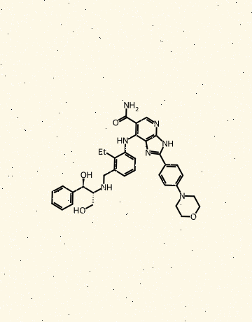 CCc1c(CN[C@H](CO)[C@H](O)c2ccccc2)cccc1Nc1c(C(N)=O)cnc2[nH]c(-c3ccc(N4CCOCC4)cc3)nc12